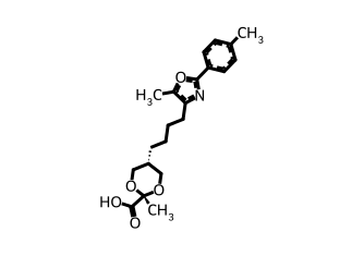 Cc1ccc(-c2nc(CCCC[C@H]3CO[C@@](C)(C(=O)O)OC3)c(C)o2)cc1